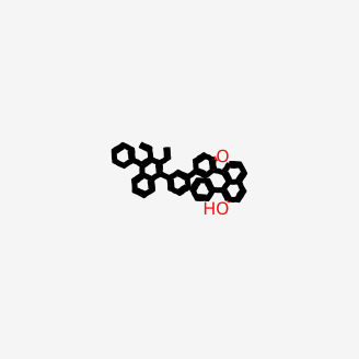 C=Cc1c(C=C)c(-c2cccc(-c3ccc4oc5ccc6ccc(O)c(-c7ccccc7)c6c5c4c3)c2)c2ccccc2c1C1=CC=CCC1